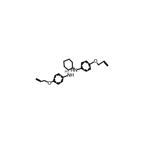 C=CCOc1ccc(N[C@@H]2CCCC[C@H]2Nc2ccc(OCC=C)cc2)cc1